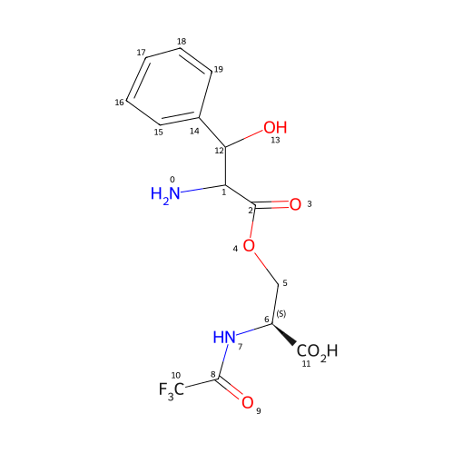 NC(C(=O)OC[C@H](NC(=O)C(F)(F)F)C(=O)O)C(O)c1ccccc1